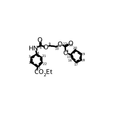 CCOC(=O)c1ccc(NC(=O)OCCOC(=O)Oc2ccccc2)cc1